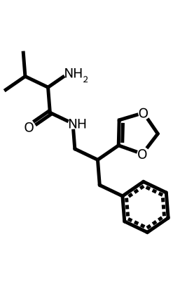 CC(C)C(N)C(=O)NCC(Cc1ccccc1)C1=COCO1